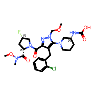 COCn1nc(C(=O)N2C[C@@H](F)C[C@H]2C(=O)N(C)OC)c(Cc2ccccc2Cl)c1N1CCC[C@@H](NC(=O)O)C1